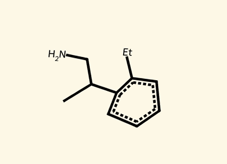 CCc1ccccc1C(C)CN